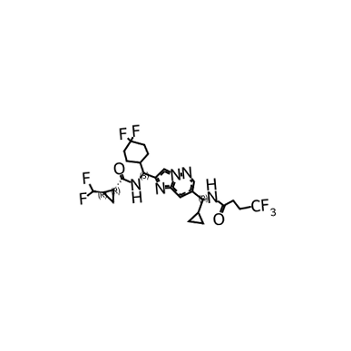 O=C(CCC(F)(F)F)N[C@@H](c1cnn2cc([C@@H](NC(=O)[C@@H]3C[C@H]3C(F)F)C3CCC(F)(F)CC3)nc2c1)C1CC1